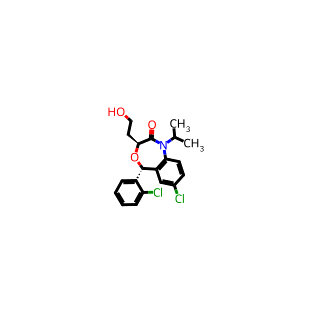 CC(C)N1C(=O)[C@H](CCO)O[C@@H](c2ccccc2Cl)c2cc(Cl)ccc21